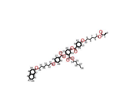 C=CC(=O)OCCCCCCOc1ccc(C(=O)Oc2ccc(OC(=O)c3ccc(OCCCCCCOc4ccc5ccccc5c4)cc3)c(C(=O)OCCCCC)c2)cc1